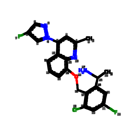 Cc1cc(-n2cc(F)cn2)c2cccc(OCc3c(Cl)cc(F)cc3C(C)N)c2n1